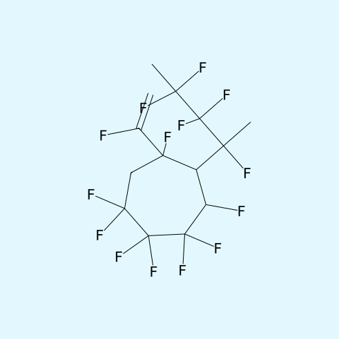 C=C(F)C1(F)CC(F)(F)C(F)(F)C(F)(F)C(F)C1C(C)(F)C(F)(F)C(C)(F)F